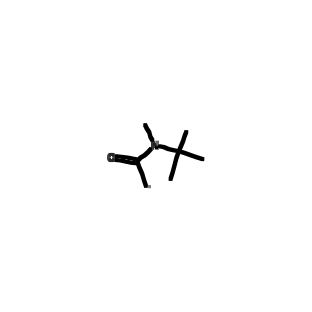 [CH2]C(=O)N(C)C(C)(C)C